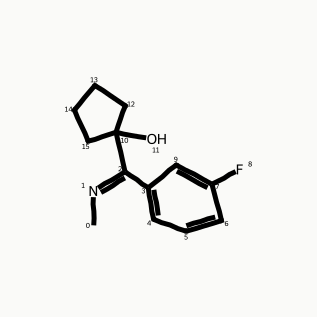 CN=C(c1cccc(F)c1)C1(O)CCCC1